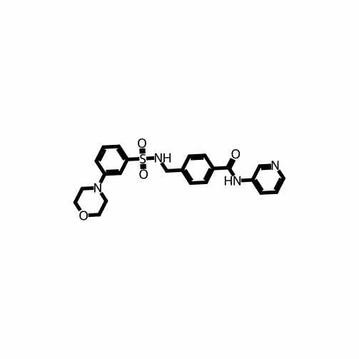 O=C(Nc1cccnc1)c1ccc(CNS(=O)(=O)c2cccc(N3CCOCC3)c2)cc1